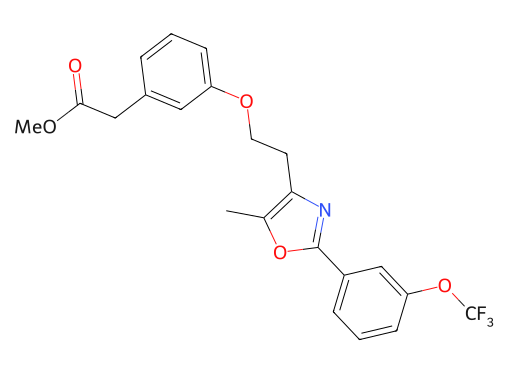 COC(=O)Cc1cccc(OCCc2nc(-c3cccc(OC(F)(F)F)c3)oc2C)c1